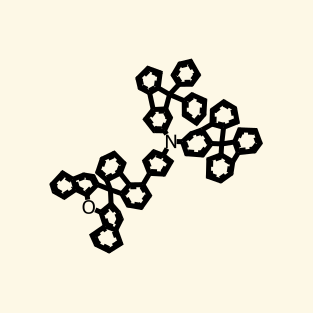 c1ccc(C2(c3ccccc3)c3ccccc3-c3ccc(N(c4ccc(-c5cccc6c5-c5ccccc5C65c6ccc7ccccc7c6Oc6c5ccc5ccccc65)cc4)c4ccc5c(c4)-c4ccccc4C54c5ccccc5-c5ccccc54)cc32)cc1